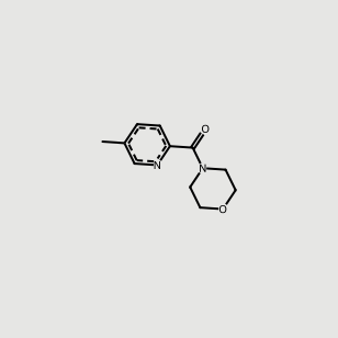 Cc1ccc(C(=O)N2CCOCC2)nc1